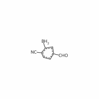 Bc1cc(C=O)ccc1C#N